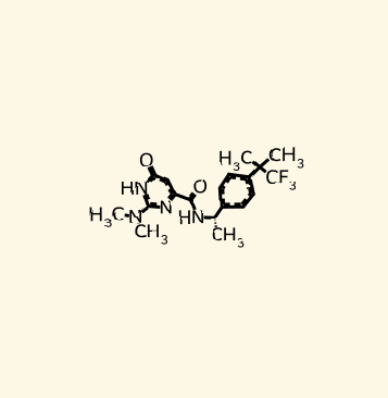 C[C@H](NC(=O)c1cc(=O)[nH]c(N(C)C)n1)c1ccc(C(C)(C)C(F)(F)F)cc1